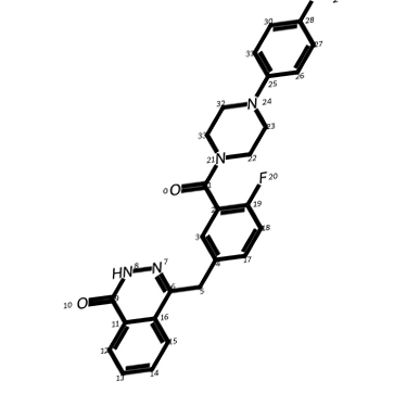 O=C(c1cc(Cc2n[nH]c(=O)c3ccccc23)ccc1F)N1CCN(c2ccc([N+](=O)[O-])cc2)CC1